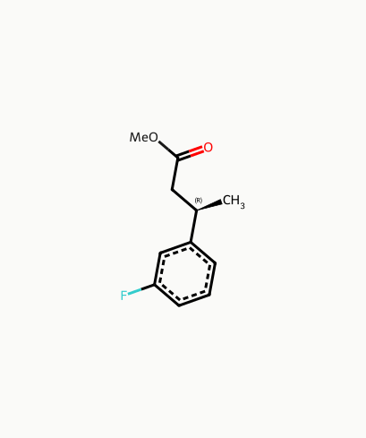 COC(=O)C[C@@H](C)c1cccc(F)c1